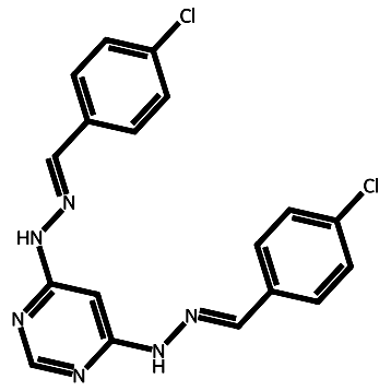 Clc1ccc(C=NNc2cc(NN=Cc3ccc(Cl)cc3)ncn2)cc1